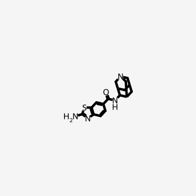 Nc1nc2ccc(C(=O)NC3C4CC5CC3CN(C5)C4)cc2s1